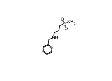 NS(=O)(=O)CCCNCc1ccccc1